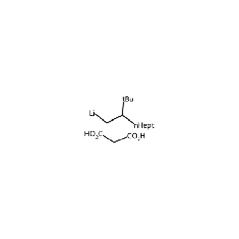 O=C(O)CC(=O)O.[Li][CH2]C(CCCCCCC)C(C)(C)C